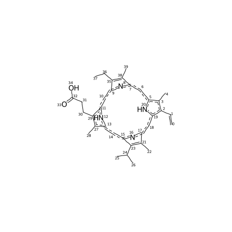 C=Cc1c(C)c2cc3nc(cc4[nH]c(cc5nc(cc1[nH]2)C(C)=C5C(C)C)c(C)c4CCC(=O)O)C(CC)=C3C